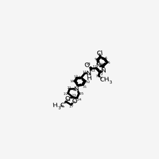 CCc1nc2ccc(Cl)cn2c1C(=O)NCc1ccc(N2CCC3(CC2)OC[C@@H](C)O3)cc1